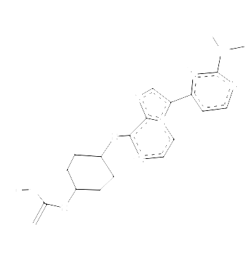 C[S+]([O-])c1nccc(-c2cnc3c(NC4CCC(NC(=O)OC(C)(C)C)CC4)nccn23)n1